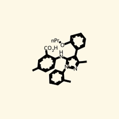 CCCOc1ccccc1-c1c(C)nn(-c2ccccc2C)c1Nc1ccc(C)cc1C(=O)O